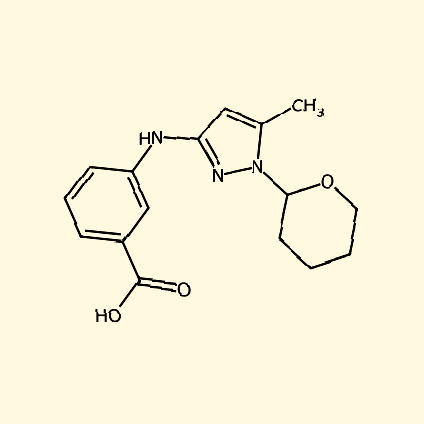 Cc1cc(Nc2cccc(C(=O)O)c2)nn1C1CCCCO1